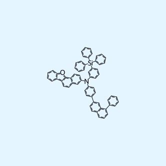 c1ccc(-c2cccc3ccc(-c4ccc(N(c5cccc([Si](c6ccccc6)(c6ccccc6)c6ccccc6)c5)c5ccc6c(ccc7c8ccccc8oc67)c5)cc4)cc23)cc1